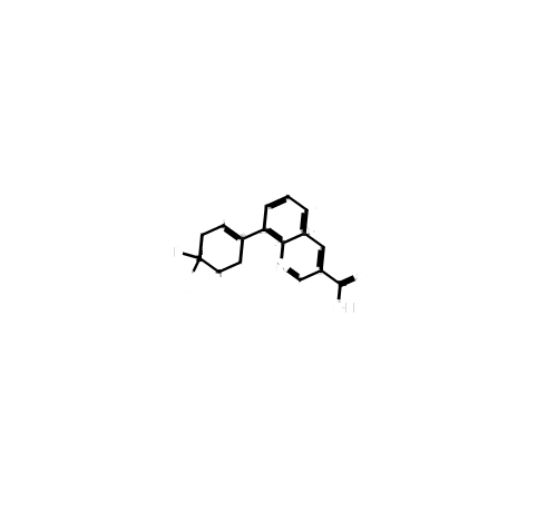 O=C(O)c1cnc2c(C3=CCC(F)(F)CC3)cccc2c1